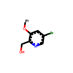 CC(C)Oc1cc(Br)cnc1CO